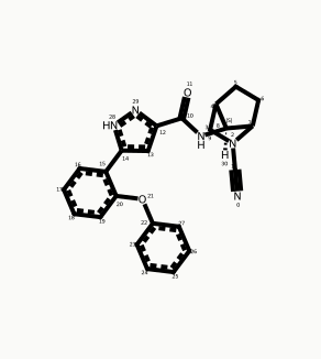 N#CN1CC2CCC1[C@H]2NC(=O)c1cc(-c2ccccc2Oc2ccccc2)[nH]n1